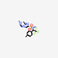 C=N/C=C\n1cc(S(=O)(=O)N(C)[C@H](c2ccc(C)cc2)C(F)(F)F)nc1C